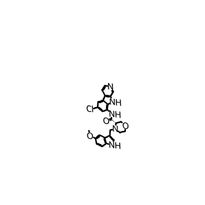 COc1ccc2[nH]cc(CN3CCOC[C@H]3C(=O)Nc3cc(Cl)cc4c3[nH]c3cnccc34)c2c1